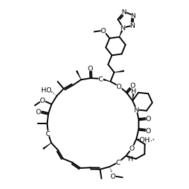 COC1C(=O)C(C)C[C@H](C)/C=C/C=C/C=C(\C)[C@@H](OC)C[C@@H]2CC[C@@H](C)[C@@](O)(O2)C(=O)C(=O)N2CCCC[C@H]2C(=O)O[C@H]([C@H](C)CC2CC[C@H](n3cnnn3)C(OC)C2)CC(=O)[C@H](C)/C=C(\C)[C@H]1O